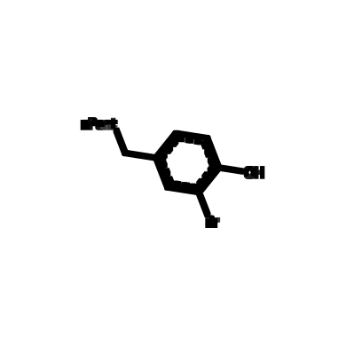 CCCCCCc1ccc(O)c(Br)c1